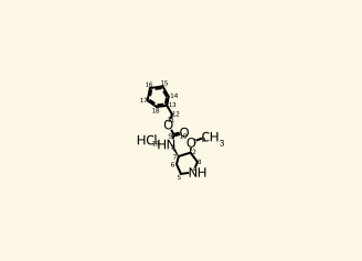 CO[C@H]1CNCC[C@H]1NC(=O)OCc1ccccc1.Cl